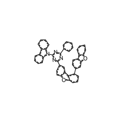 c1ccc(-c2nc(-c3ccc4oc5cccc(-c6ccc7c(c6)oc6ccccc67)c5c4c3)nc(-n3c4ccccc4c4ccccc43)n2)cc1